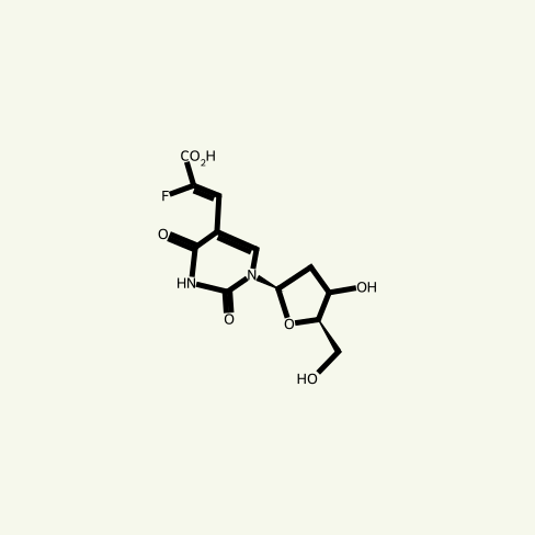 O=C(O)/C(F)=C/c1cn([C@H]2CC(O)[C@@H](CO)O2)c(=O)[nH]c1=O